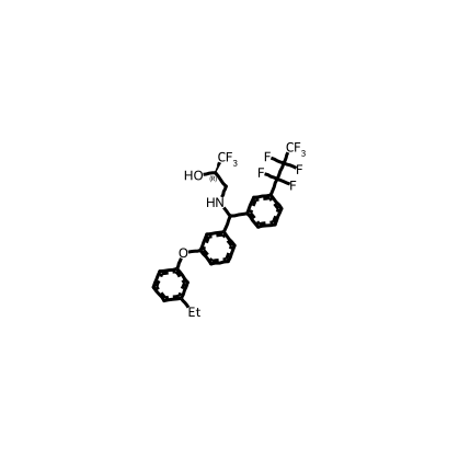 CCc1cccc(Oc2cccc(C(NC[C@@H](O)C(F)(F)F)c3cccc(C(F)(F)C(F)(F)C(F)(F)F)c3)c2)c1